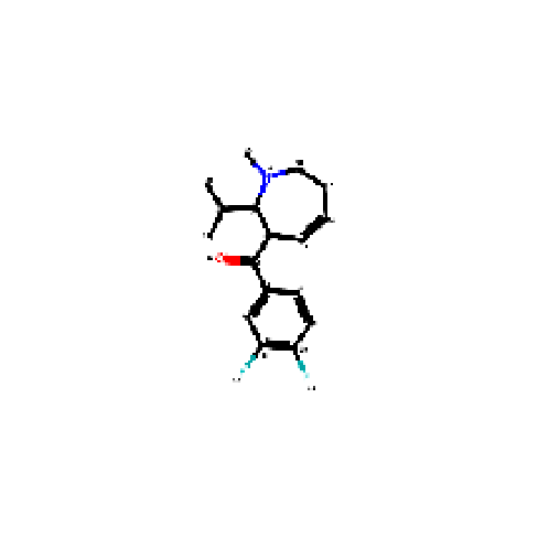 CC(C)C1C(C(=O)c2ccc(F)c(F)c2)C=CCCN1C